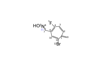 C=C1C=CC(F)=C(/C=N/O)C=C1Br